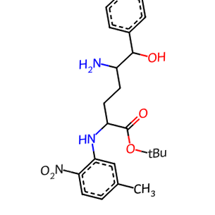 Cc1ccc([N+](=O)[O-])c(NC(CCC(N)C(O)c2ccccc2)C(=O)OC(C)(C)C)c1